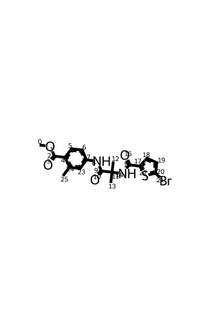 COC(=O)c1ccc(NC(=O)C(C)(C)NC(=O)c2ccc(Br)s2)cc1C